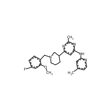 COc1cc(F)ccc1CN1CCCC(c2cc(Nc3cc(C)ccn3)nc(C)n2)C1